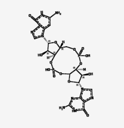 Nc1cc2c(ncn2[C@@H]2O[C@@H]3COP(=O)(O)O[C@@H]4C(O[C@@H](n5cnc6c(=O)[nH]c(N)nc65)[C@@H]4O)OP(=O)(O)O[C@H]3[C@H]2O)c(=O)[nH]1